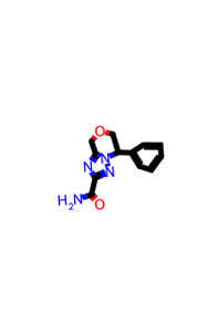 NC(=O)c1nc2n(n1)C(c1ccccc1)COC2